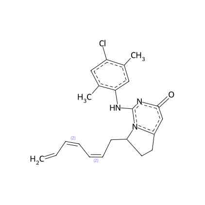 C=C/C=C\C=C/CC1CCc2cc(=O)nc(Nc3cc(C)c(Cl)cc3C)n21